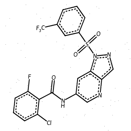 O=C(Nc1cnc2cnn(S(=O)(=O)c3cccc(C(F)(F)F)c3)c2c1)c1c(F)cccc1Cl